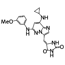 COc1cccc(Nc2cc(NC3CC3)c3ncc(/C=C4\NC(=O)NC4=O)n3n2)c1